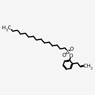 C=CCc1ccccc1OS(=O)(=O)CCCCCCCCCCCCCCC